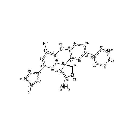 Cn1cc(-c2cc(F)c3c(c2)[C@]2(COC(N)=N2)c2cc(-c4cccnc4)ccc2O3)cn1